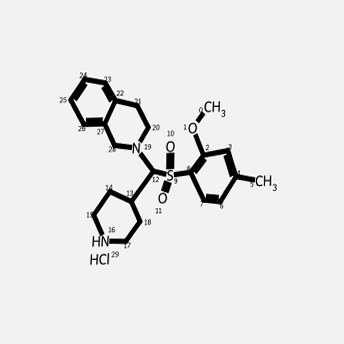 COc1cc(C)ccc1S(=O)(=O)C(C1CCNCC1)N1CCc2ccccc2C1.Cl